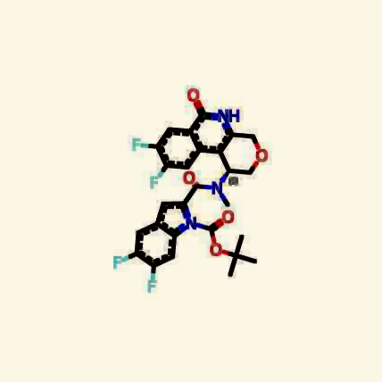 CN(C(=O)c1cc2cc(F)c(F)cc2n1C(=O)OC(C)(C)C)[C@@H]1COCc2[nH]c(=O)c3cc(F)c(F)cc3c21